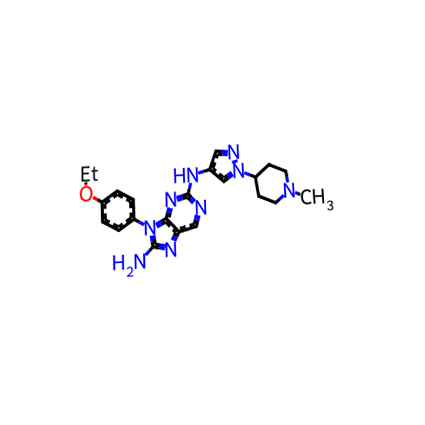 CCOc1ccc(-n2c(N)nc3cnc(Nc4cnn(C5CCN(C)CC5)c4)nc32)cc1